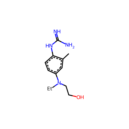 CCN(CCO)c1ccc(NC(=N)N)c(C)c1